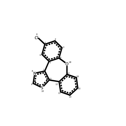 Clc1ccc2c(c1)-c1ncsc1-c1ccccc1O2